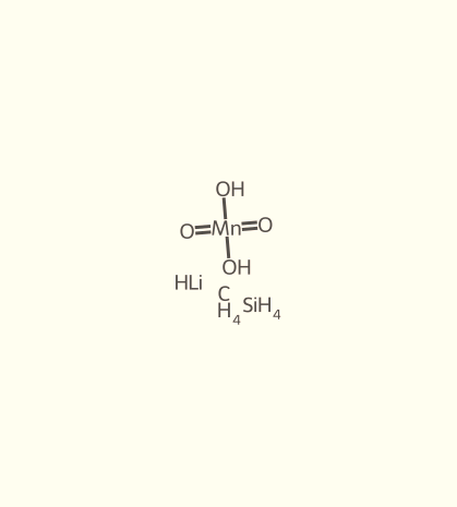 C.[LiH].[O]=[Mn](=[O])([OH])[OH].[SiH4]